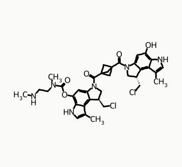 CNCCN(C)C(=O)Oc1cc2c(c3c(C)c[nH]c13)[C@H](CCl)CN2C(=O)C12CC(C(=O)N3C[C@@H](CCl)c4c3cc(O)c3[nH]cc(C)c43)(C1)C2